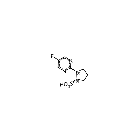 O=S(=O)(O)[C@@H]1CCC[C@@H]1c1ncc(F)cn1